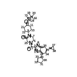 Cn1c(C(=O)N2CCN([C@H]3CC[C@H](O[Si](C)(C)C(C)(C)C)CC3)C(=O)C2)nc2c(C3CCCC3)cc(C3CC3)cc21